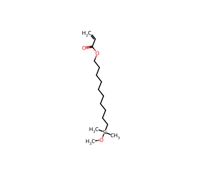 C=CC(=O)OCCCCCCCCCC[Si](C)(C)OC